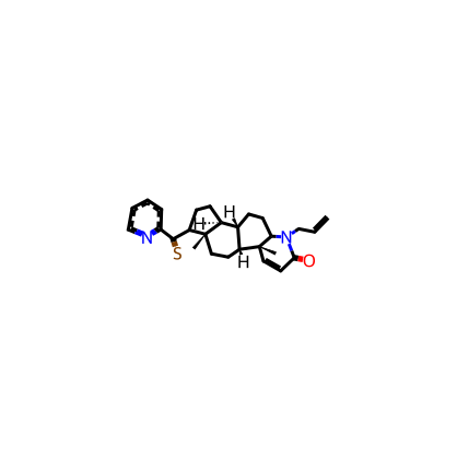 C=CCN1C(=O)C=C[C@@]2(C)C1CC[C@@H]1[C@H]2CC[C@]2(C)C(C(=S)c3ccccn3)CC[C@@H]12